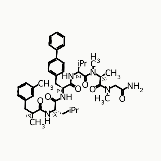 Cc1cccc(C[C@H](C)C(=O)N[C@@H](CC(C)C)C(=O)N[C@@H](Cc2ccc(-c3ccccc3)cc2)C(=O)N[C@H](C(=O)N(C)[C@@H](C)C(=O)N(C)CC(N)=O)C(C)C)c1